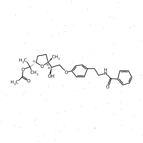 CC(=O)OC(C)(C)[C@@H]1CC[C@](C)([C@H](O)COc2ccc(CCNC(=O)c3ccccc3)cc2)O1